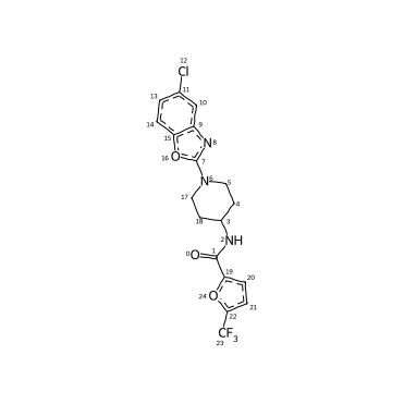 O=C(NC1CCN(c2nc3cc(Cl)ccc3o2)CC1)c1ccc(C(F)(F)F)o1